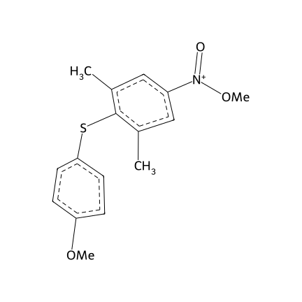 COc1ccc(Sc2c(C)cc([N+](=O)OC)cc2C)cc1